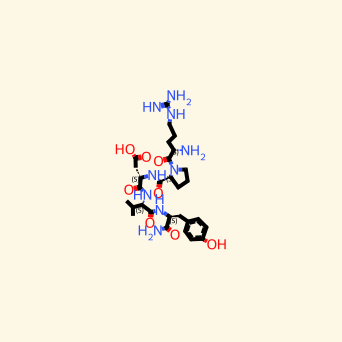 CC(C)[C@H](NC(=O)[C@H](CC(=O)O)NC(=O)[C@@H]1CCCN1C(=O)[C@@H](N)CCCNC(=N)N)C(=O)N[C@@H](Cc1ccc(O)cc1)C(N)=O